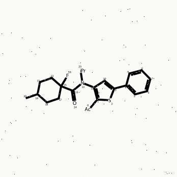 CC(=O)c1sc(-c2ccccc2)cc1N(C(=O)C1(F)CCC(C)CC1)C(C)C